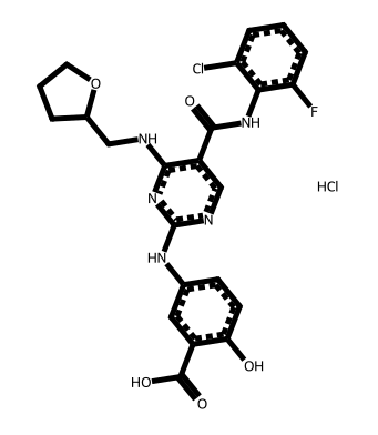 Cl.O=C(O)c1cc(Nc2ncc(C(=O)Nc3c(F)cccc3Cl)c(NCC3CCCO3)n2)ccc1O